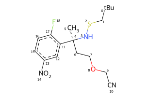 CC(C)(C)CSN[C@@](C)(CCOCC#N)c1cc([N+](=O)[O-])ccc1F